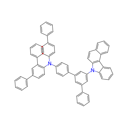 c1ccc(-c2ccc(N(c3ccc(-c4cc(-c5ccccc5)cc(-n5c6ccccc6c6c7ccccc7ccc65)c4)cc3)c3ccc(-c4ccccc4)cc3-c3ccccc3)cc2)cc1